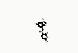 O=C1CCC(NCc2cc(F)cc3[nH]cnc23)C(=O)N1